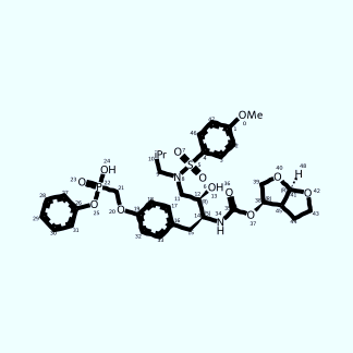 COc1ccc(S(=O)(=O)N(CC(C)C)C[C@@H](O)[C@H](Cc2ccc(OCP(=O)(O)Oc3ccccc3)cc2)NC(=O)O[C@H]2CO[C@H]3OCCC32)cc1